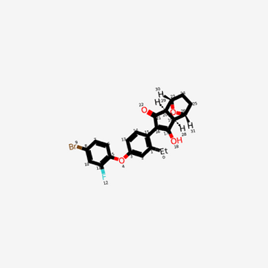 CCc1cc(Oc2ccc(Br)cc2F)ccc1C1=C(O)[C@H]2[C@@H](C1=O)[C@@H]1CC[C@H]2O1